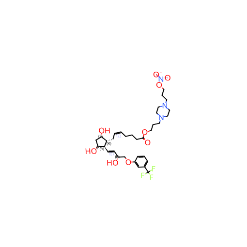 O=C(CCC/C=C\C[C@@H]1[C@@H](/C=C/[C@@H](O)COc2cccc(C(F)(F)F)c2)[C@H](O)C[C@@H]1O)OCCCN1CCN(CCCO[N+](=O)[O-])CC1